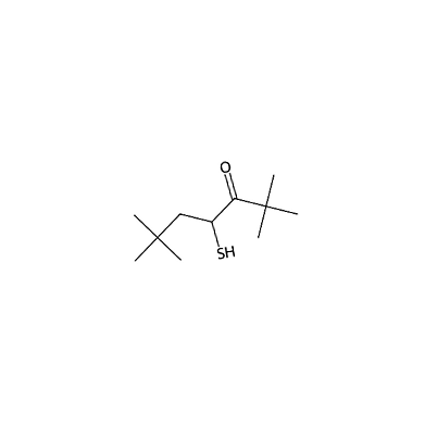 CC(C)(C)CC(S)C(=O)C(C)(C)C